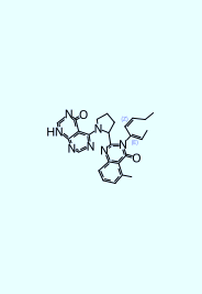 C/C=C(\C=C/CC)n1c(C2CCCN2c2ncnc3[nH]cnc(=O)c23)nc2cccc(C)c2c1=O